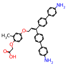 Cc1cc(OCC=C(c2ccc(-c3ccc(N)cc3)cc2)c2ccc(-c3ccc(N)cc3)cc2)ccc1OCC(=O)O